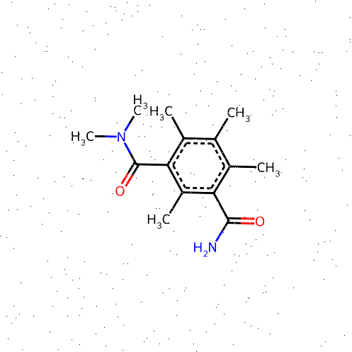 Cc1c(C)c(C(N)=O)c(C)c(C(=O)N(C)C)c1C